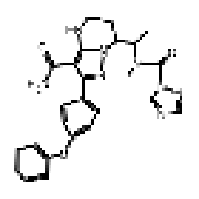 CC(C1CCNc2c(C(N)=O)c(-c3ccc(Oc4ccccc4)cc3)nn21)N(C)C(=O)n1cncn1